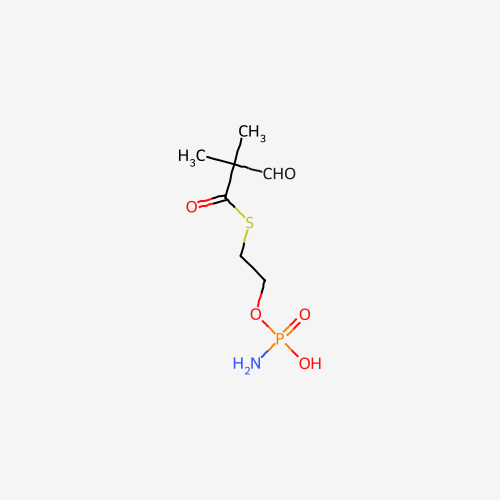 CC(C)(C=O)C(=O)SCCOP(N)(=O)O